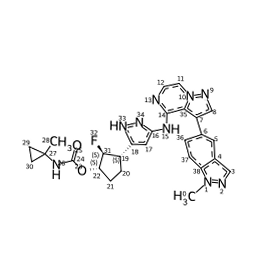 Cn1ncc2cc(-c3cnn4ccnc(Nc5cc([C@@H]6CC[C@H](OC(=O)NC7(C)CC7)[C@H]6F)[nH]n5)c34)ccc21